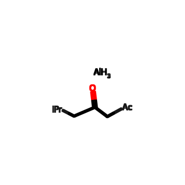 CC(=O)CC(=O)CC(C)C.[AlH3]